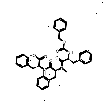 CN(C(=O)[C@H](Cc1ccccc1)NC(=O)OCc1ccccc1)[C@@H](Cc1ccccc1)C(=O)N[C@@H](Cc1ccccc1)C(=O)O